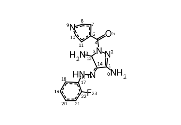 NC1=NN(C(=O)c2ccncc2)C(N)C1=NNc1ccccc1F